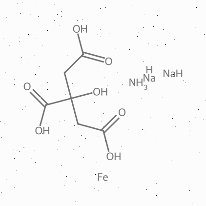 N.O=C(O)CC(O)(CC(=O)O)C(=O)O.[Fe].[NaH].[NaH]